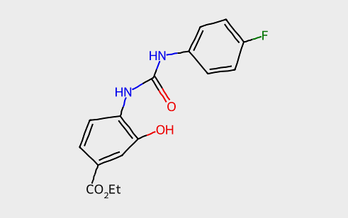 CCOC(=O)c1ccc(NC(=O)Nc2ccc(F)cc2)c(O)c1